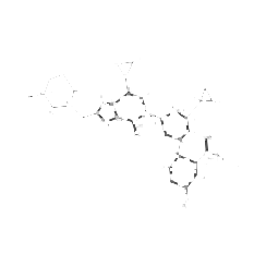 C[C@H]1CCCN(Cc2cc3c(C4CC4)cn(-c4cc(-c5ccc(F)cc5C(N)=O)cc(C5CC5)n4)c(=O)c3[nH]2)C1